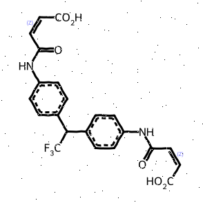 O=C(O)/C=C\C(=O)Nc1ccc(C(c2ccc(NC(=O)/C=C\C(=O)O)cc2)C(F)(F)F)cc1